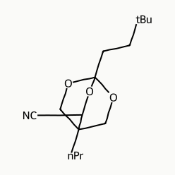 CCCC12COC(CCC(C)(C)C)(OC1)OC2C#N